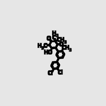 C=C1C(=O)C(C)(C)C(=O)C(c2cc(-c3ccc(Cl)c(Cl)c3)ccc2C)=C1O